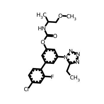 CCc1nnnn1-c1cc(OC(=O)NC(C)COC)cc(-c2ccc(Cl)cc2F)c1